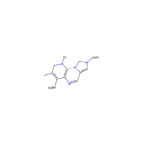 CCN1CC(C)=C(NC(C)=O)C2=C1N1CN(OC)C=C1C=N2